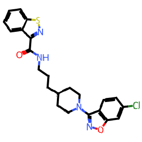 O=C(NCCCC1CCN(c2noc3cc(Cl)ccc23)CC1)c1nsc2ccccc12